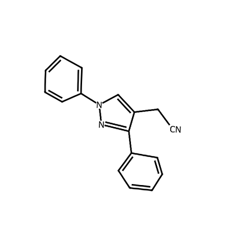 N#CCc1cn(-c2ccccc2)nc1-c1ccccc1